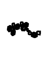 O=C(Nc1ccc(C(=O)N2CCCN(CCCOc3cccc(Cl)c3)c3ccccc32)cc1)c1ccccc1-c1ccccc1